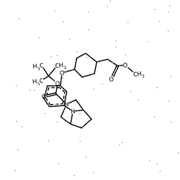 COC(=O)CC1CCC(Oc2cccc(N3C4CCC3CN(C(=O)OC(C)(C)C)C4)c2)CC1